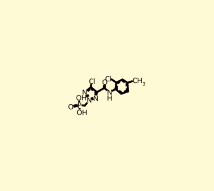 Cc1ccc(NC(=O)c2nn(CP(=O)(O)O)nc2Cl)c(Cl)c1